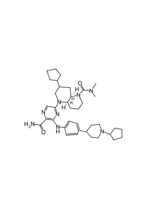 CN(C)C(=O)N1CCC[C@@H]2[C@H]1CC(C1CCCC1)CN2c1cnc(C(N)=O)c(Nc2ccc(C3CCN(C4CCCC4)CC3)cc2)n1